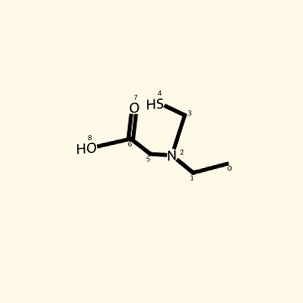 CCN(CS)CC(=O)O